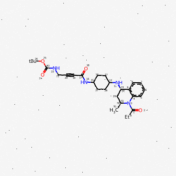 CCC(=O)N1c2ccccc2[C@H](NC2CCC(NC(=O)C#CCNC(=O)OC(C)(C)C)CC2)C[C@@H]1C